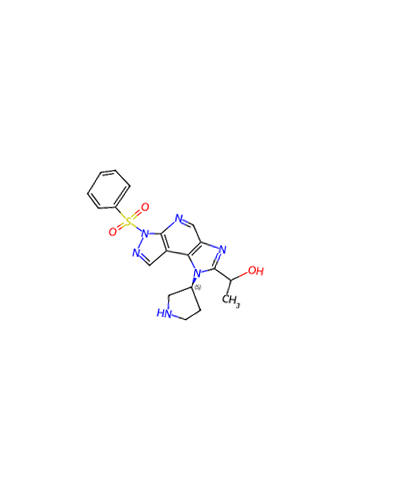 CC(O)c1nc2cnc3c(cnn3S(=O)(=O)c3ccccc3)c2n1[C@H]1CCNC1